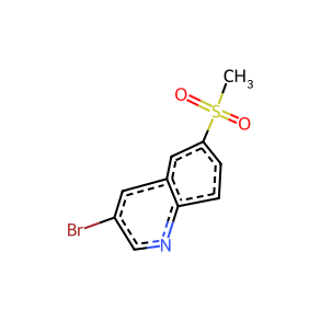 CS(=O)(=O)c1ccc2ncc(Br)cc2c1